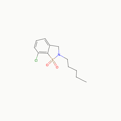 CCCCCN1Cc2cccc(Cl)c2S1(=O)=O